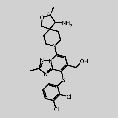 Cc1nc2c(Sc3cccc(Cl)c3Cl)c(CO)cc(N3CCC4(CC3)CO[C@@H](C)C4N)n2n1